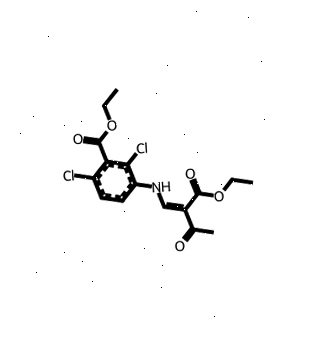 CCOC(=O)C(=CNc1ccc(Cl)c(C(=O)OCC)c1Cl)C(C)=O